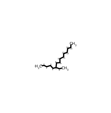 [CH2]CCCCC(CC)CCCCCCCCC